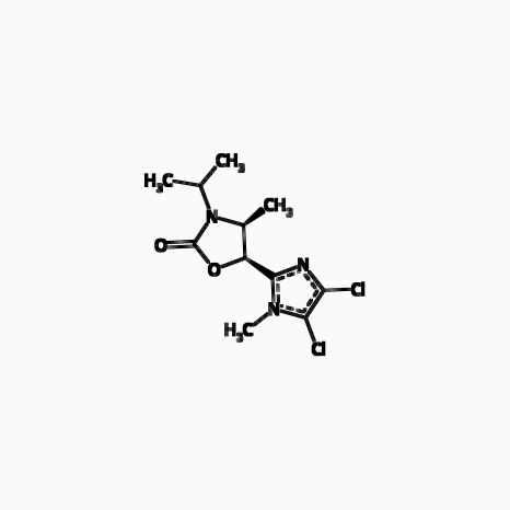 CC(C)N1C(=O)O[C@H](c2nc(Cl)c(Cl)n2C)[C@@H]1C